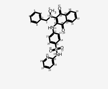 CN(Cc1ccccc1)C1=C(Nc2ccc(S(=O)(=O)Nc3ccccn3)cc2)C(=O)c2ccccc2C1=O